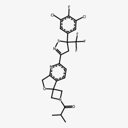 CC(C)C(=O)N1CC2(C1)OCc1nc(C3=NSC(c4cc(Cl)c(F)c(Cl)c4)(C(F)(F)F)C3)ccc12